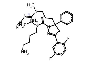 CCN(CCCCN)C(=O)N1N=C(c2cc(F)ccc2F)SC1(CCCN(C)/C(N)=N/C#N)c1ccccc1